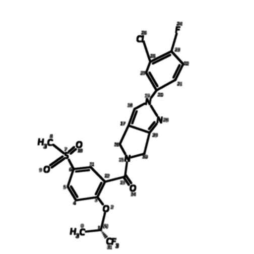 C[C@H](Oc1ccc(S(C)(=O)=O)cc1C(=O)N1Cc2cn(-c3ccc(F)c(Cl)c3)nc2C1)C(F)(F)F